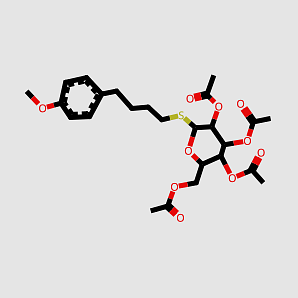 COc1ccc(CCCCSC2OC(COC(C)=O)C(OC(C)=O)C(OC(C)=O)C2OC(C)=O)cc1